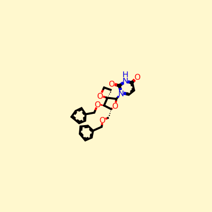 O=c1ccn(C2O[C@H](COCc3ccccc3)[C@@H](OCc3ccccc3)[C@]23CCO3)c(=O)[nH]1